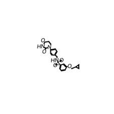 O=C1CCN(c2ccc(CNS(=O)(=O)c3cccc(OCC4CC4)c3)cc2)C(=O)N1